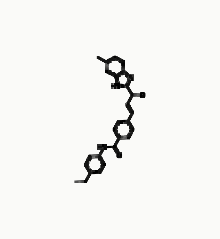 CCc1ccc(NC(=O)c2ccc(C=CC(=O)c3nc4ccc(C)cc4[nH]3)cc2)cc1